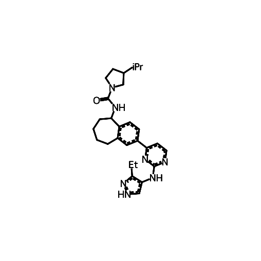 CCc1n[nH]cc1Nc1nccc(-c2ccc3c(c2)CCCCC3NC(=O)N2CCC(C(C)C)C2)n1